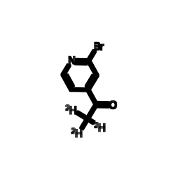 [2H]C([2H])([2H])C(=O)c1ccnc(Br)c1